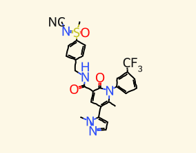 Cc1c(-c2ccnn2C)cc(C(=O)NCc2ccc(S(C)(=O)=NC#N)cc2)c(=O)n1-c1cccc(C(F)(F)F)c1